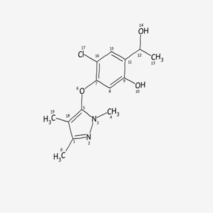 Cc1nn(C)c(Oc2cc(O)c(C(C)O)cc2Cl)c1C